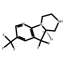 FC(F)(F)c1cnc2c(c1)C(F)(F)[C@@H]1CNCCN21